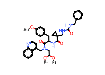 CCOC(CN(Cc1ccnc2ccccc12)C(=O)C(Cc1ccc(OC(C)(C)C)cc1)NC(=O)C1(CNC(=O)NCc2ccccc2)CC1)OCC